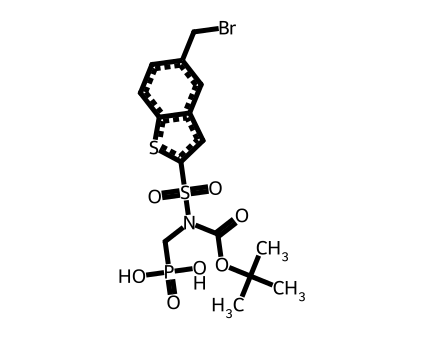 CC(C)(C)OC(=O)N(CP(=O)(O)O)S(=O)(=O)c1cc2cc(CBr)ccc2s1